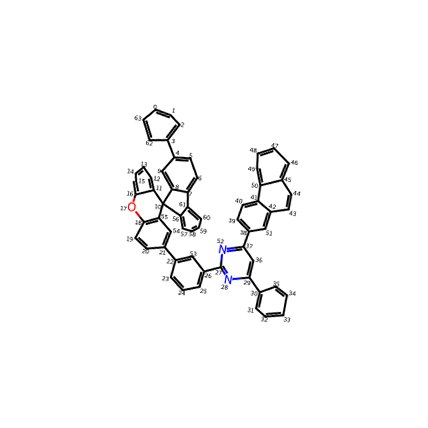 c1ccc(-c2ccc3c(c2)C2(c4ccccc4Oc4ccc(-c5cccc(-c6nc(-c7ccccc7)cc(-c7ccc8c(ccc9ccccc98)c7)n6)c5)cc42)c2ccccc2-3)cc1